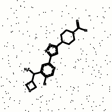 CCC(=O)N1CCC(c2cc(-c3cc(N(C)C4COC4)c(CC)cn3)no2)CC1